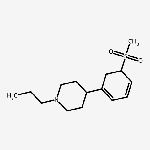 CCCN1CCC(C2=CC=CC(S(C)(=O)=O)C2)CC1